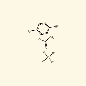 CC(=O)[O-].Cc1cc[c]([Tl+2])cc1.[O-][Cl+3]([O-])([O-])[O-]